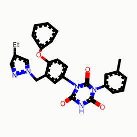 CCc1cnn(Cc2cc(-n3c(=O)[nH]c(=O)n(-c4cccc(C)c4)c3=O)ccc2Oc2ccccc2)c1